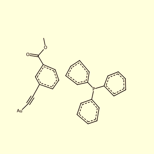 COC(=O)c1cccc(C#[C][Au])c1.c1ccc(P(c2ccccc2)c2ccccc2)cc1